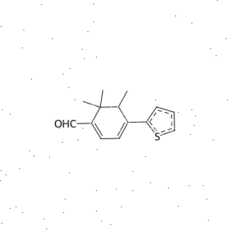 CC1C(c2cccs2)=CC=C(C=O)C1(C)C